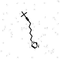 CC(C)(C)C#CCCCCCCn1ccnc1